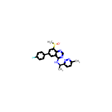 Cc1ccc(C(C)Nc2ncnc3c([S+](C)[O-])cc(-c4ccc(F)cc4)cc23)nn1